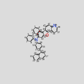 c1ccc(-c2ccccc2N(c2ccc(-c3cccc4ccccc34)cc2)c2ccc3c(c2)oc2c4cccnc4ccc32)cc1